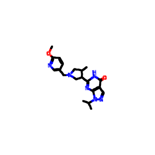 COc1ccc(CN2CC(C)C(c3nc4c(cnn4C(C)C)c(=O)[nH]3)C2)cn1